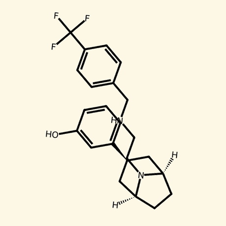 Oc1cccc([C@H]2C[C@H]3CC[C@@H](C2)N3CCNCc2ccc(C(F)(F)F)cc2)c1